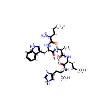 C[C@H](NC(=O)[C@H](Cc1c[nH]c2ccccc12)NC(=O)[C@@H](N)CCC(=O)O)C(=O)N[C@@H](CCC(=O)O)C(=O)N[C@@H](Cc1c[nH]cn1)C(=O)O